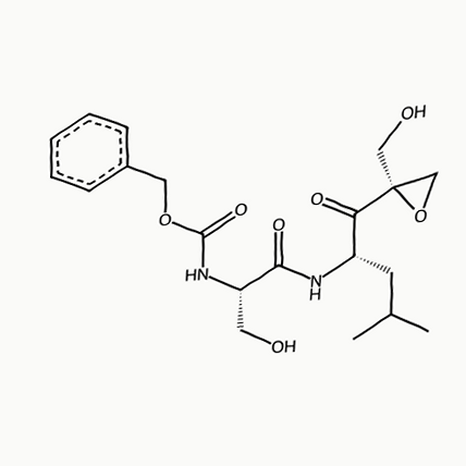 CC(C)C[C@H](NC(=O)[C@H](CO)NC(=O)OCc1ccccc1)C(=O)[C@@]1(CO)CO1